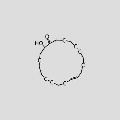 O=C1CCCCCCCC/C=C/CCCCCCCCC1O